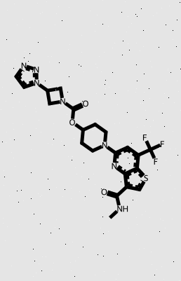 CNC(=O)c1csc2c(C(F)(F)F)cc(N3CCC(OC(=O)N4CC(n5ccnn5)C4)CC3)nc12